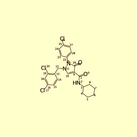 O=C(NC1CCCCC1)c1cn(Cc2ccc(Cl)cc2Cl)n(-c2ccc(Cl)cc2)c1=O